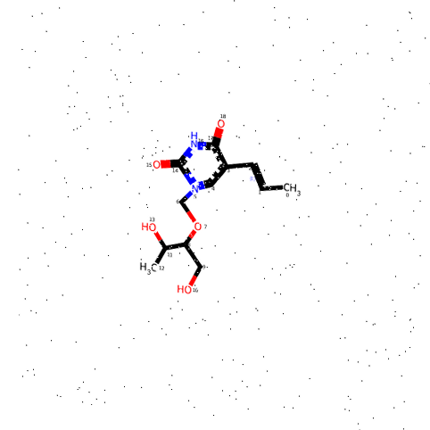 C/C=C/c1cn(COC(CO)C(C)O)c(=O)[nH]c1=O